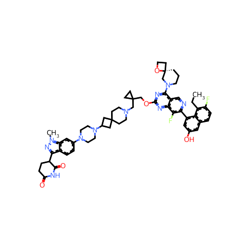 CCc1c(F)ccc2cc(O)cc(-c3ncc4c(N5CCC[C@]6(CCO6)C5)nc(OCC5(CN6CCC7(CC6)CC(N6CCN(c8ccc9c(C%10CCC(=O)NC%10=O)nn(C)c9c8)CC6)C7)CC5)nc4c3F)c12